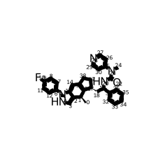 C[C@H]1C2=CNN(c3ccc(F)cc3)C2=CC2=C1[C@@H](CC(NC(=O)N(C)c1ccncc1)c1ccccc1)CC2